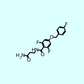 NC(=O)CCNC(=O)c1c(F)cc(OCc2ccc(F)cc2)cc1F